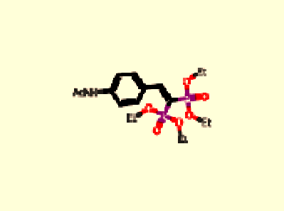 CCOP(=O)(OCC)C(=Cc1ccc(NC(C)=O)cc1)P(=O)(OCC)OCC